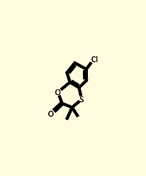 CC1(C)Sc2cc(Cl)ccc2OC1=O